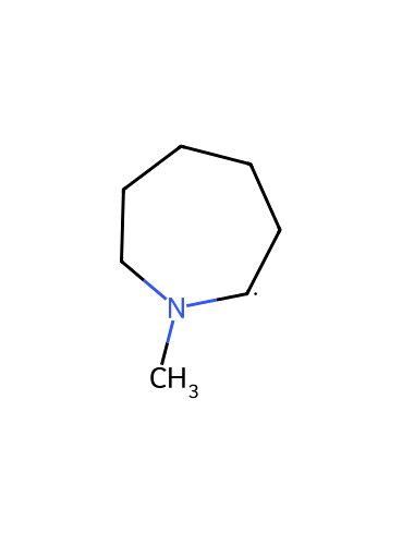 CN1[CH]CCCCC1